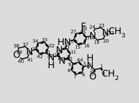 C=CC(=O)Nc1cccc(-c2cc(Nc3ccc(N4CCN(C)CC4)c(F)c3)nc(Nc3cccc(N4CCOCC4)c3)n2)c1